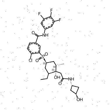 CCC1C[C@@H](S(=O)(=O)c2cc(C(=O)Nc3cc(F)c(F)c(F)c3)ccc2Cl)C[C@H](C)[C@@]1(O)CC(=O)N[C@H]1C[C@H](O)C1